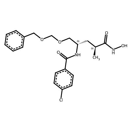 C[C@@H](C[C@@H](COCOCc1ccccc1)NC(=O)c1ccc(Cl)cc1)C(=O)NO